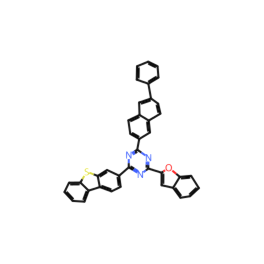 c1ccc(-c2ccc3cc(-c4nc(-c5ccc6c(c5)sc5ccccc56)nc(-c5cc6ccccc6o5)n4)ccc3c2)cc1